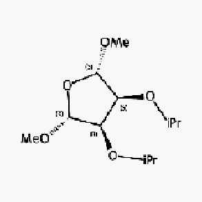 CO[C@H]1O[C@@H](OC)[C@H](OC(C)C)[C@@H]1OC(C)C